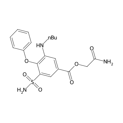 CCCCNc1cc(C(=O)OCC(N)=O)cc(S(N)(=O)=O)c1Oc1ccccc1